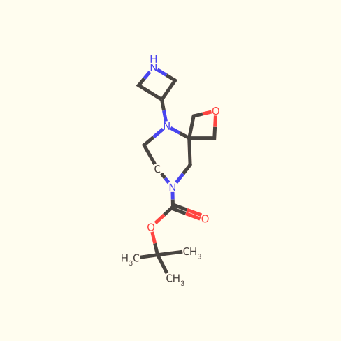 CC(C)(C)OC(=O)N1CCN(C2CNC2)C2(COC2)C1